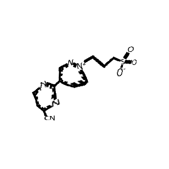 N#Cc1ccnc(-c2cc[n+](CCCS(=O)(=O)[O-])nc2)n1